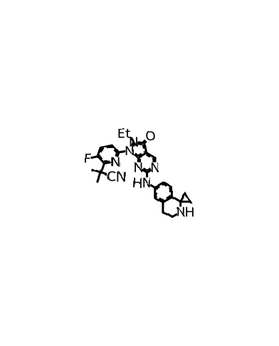 CCn1c(=O)c2cnc(Nc3ccc4c(c3)CCNC43CC3)nc2n1-c1ccc(F)c(C(C)(C)C#N)n1